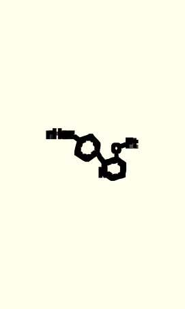 CCCCCCc1ccc(-c2ncccc2OCC)cc1